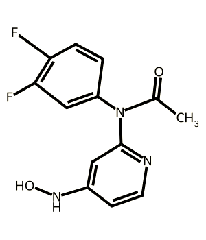 CC(=O)N(c1ccc(F)c(F)c1)c1cc(NO)ccn1